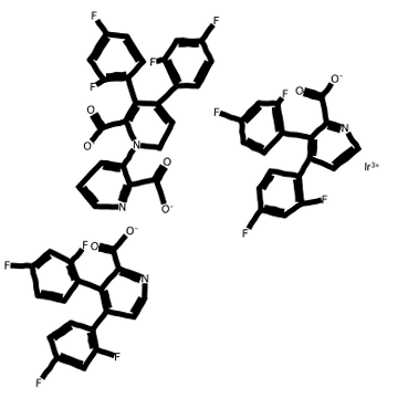 O=C([O-])C1=C(c2ccc(F)cc2F)C(c2ccc(F)cc2F)=CCN1c1cccnc1C(=O)[O-].O=C([O-])c1nccc(-c2ccc(F)cc2F)c1-c1ccc(F)cc1F.O=C([O-])c1nccc(-c2ccc(F)cc2F)c1-c1ccc(F)cc1F.[Ir+3]